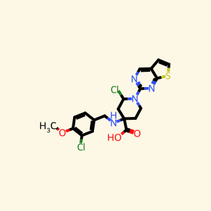 COc1ccc(CNC2(C(=O)O)CCN(c3ncc4ccsc4n3)C(Cl)C2)cc1Cl